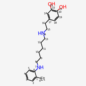 CCc1ccccc1NCCCCCCNCCc1ccc(O)c(O)c1